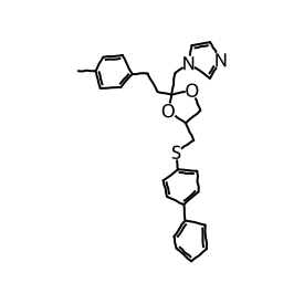 Cc1ccc(CCC2(Cn3ccnc3)OCC(CSc3ccc(-c4ccccc4)cc3)O2)cc1